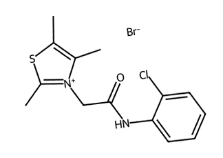 Cc1sc(C)[n+](CC(=O)Nc2ccccc2Cl)c1C.[Br-]